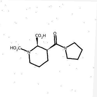 O=C(O)[C@H]1[C@@H](C(=O)N2CCCC2)CCCN1C(=O)O